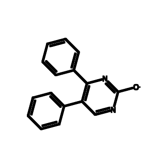 [O]c1ncc(-c2ccccc2)c(-c2ccccc2)n1